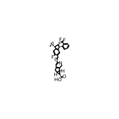 CN(C)[C@@H]1C[C@@H](c2ccccc2C(F)(F)F)c2cc(COc3cc4c(cn3)[C@H]3[C@@H](C4)[C@@H]3C(=O)O)c(F)cc21